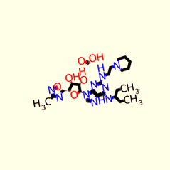 CCC(CC)Nc1nc(NCCN2CCCCC2)nc2c1ncn2[C@@H]1O[C@H](c2nc(C)no2)[C@@H](O)[C@H]1O.O=CO